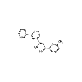 Cc1cccc(C(=N)/C=C(\N)c2cccc(-c3cccnc3)c2)c1